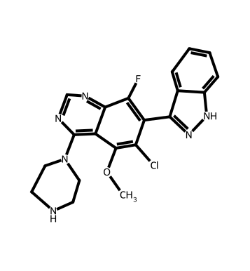 COc1c(Cl)c(-c2n[nH]c3ccccc23)c(F)c2ncnc(N3CCNCC3)c12